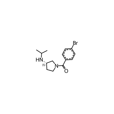 CC(C)N[C@H]1CCN(C(=O)c2ccc(Br)cc2)C1